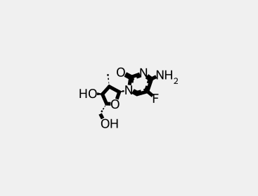 C[C@H]1[C@H](O)[C@@H](CO)O[C@H]1n1cc(F)c(N)nc1=O